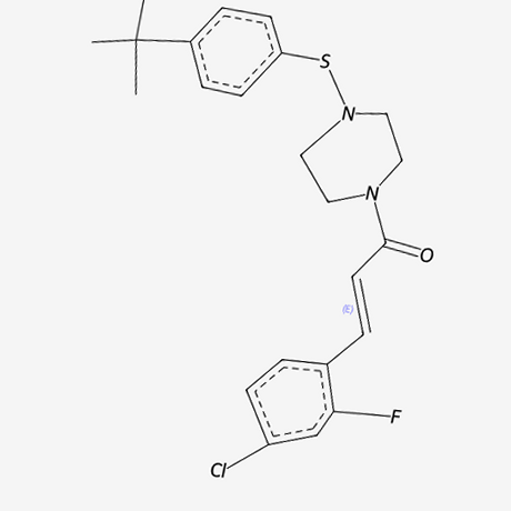 CC(C)(C)c1ccc(SN2CCN(C(=O)/C=C/c3ccc(Cl)cc3F)CC2)cc1